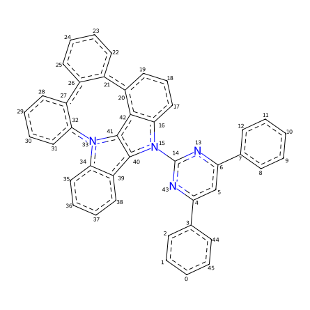 c1ccc(-c2cc(-c3ccccc3)nc(-n3c4cccc5c6ccccc6c6ccccc6n6c7ccccc7c3c6c54)n2)cc1